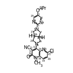 CC(C)Oc1cnc(N2C[C@@H]3CN(c4c(C#N)c(=O)n(C)c5ccc(Cl)nc45)C[C@H]3C2)nc1